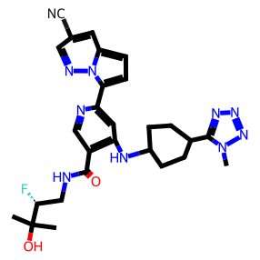 Cn1nnnc1C1CCC(Nc2cc(-c3ccc4cc(C#N)cnn34)ncc2C(=O)NC[C@@H](F)C(C)(C)O)CC1